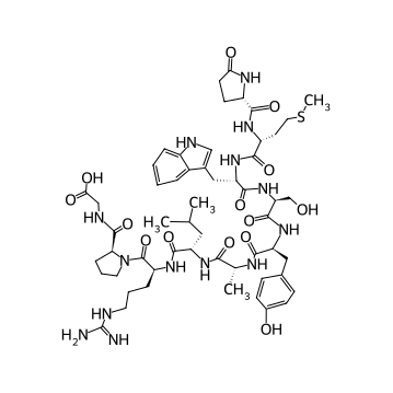 CSCC[C@@H](NC(=O)[C@@H]1CCC(=O)N1)C(=O)N[C@@H](Cc1c[nH]c2ccccc12)C(=O)N[C@@H](CO)C(=O)N[C@@H](Cc1ccc(O)cc1)C(=O)N[C@H](C)C(=O)N[C@@H](CC(C)C)C(=O)N[C@@H](CCCNC(=N)N)C(=O)N1CCC[C@H]1C(=O)NCC(=O)O